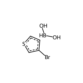 Brc1ccsc1.OBO